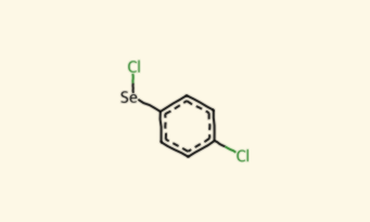 Cl[Se]c1ccc(Cl)cc1